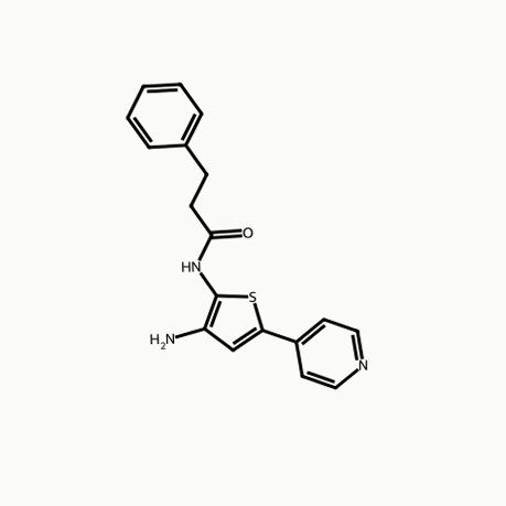 Nc1cc(-c2ccncc2)sc1NC(=O)CCc1ccccc1